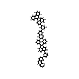 c1cnc2c(c1)ccc1ccc(-c3ccnc(-c4ccc5c6c(cccc46)-c4c-5c5cccc(-c6ccc7ccc(-c8ccnc(-c9ccc%10c%11c(cccc9%11)-c9c-%10c%10ccccc%10c%10ccccc9%10)c8)cc7n6)c5c5ccccc45)n3)nc12